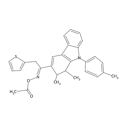 CC(=O)ON=C(Cc1cccs1)C1=Cc2c(n(-c3ccc(C)cc3)c3ccccc23)C(C)C1C